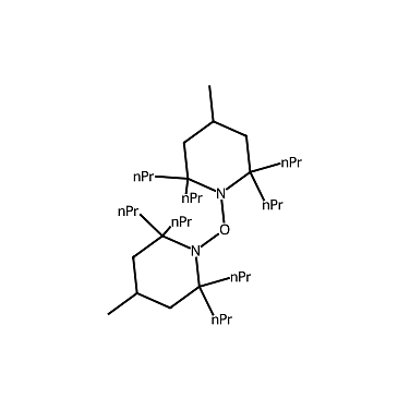 CCCC1(CCC)CC(C)CC(CCC)(CCC)N1ON1C(CCC)(CCC)CC(C)CC1(CCC)CCC